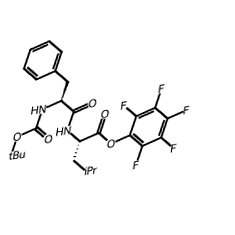 CC(C)C[C@H](NC(=O)[C@H](Cc1ccccc1)NC(=O)OC(C)(C)C)C(=O)Oc1c(F)c(F)c(F)c(F)c1F